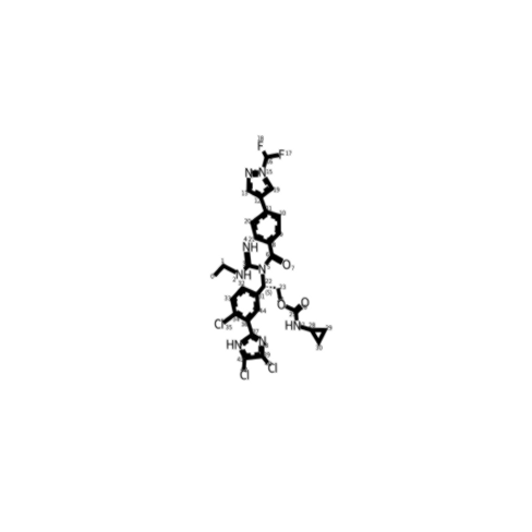 CCNC(=N)N(C(=O)c1ccc(-c2cnn(C(F)F)c2)cc1)[C@H](COC(=O)NC1CC1)c1ccc(Cl)c(-c2nc(Cl)c(Cl)[nH]2)c1